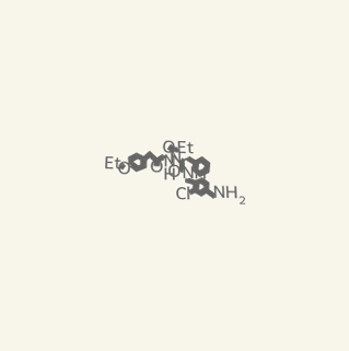 CCOc1ccc(CC(=O)CNN(C(=O)CC)[C@@H](Cc2ccccc2)C(=O)NCc2ccc(CN)cc2Cl)cc1